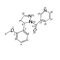 COc1ccccc1C1CC=NN1C(=O)c1cccnc1